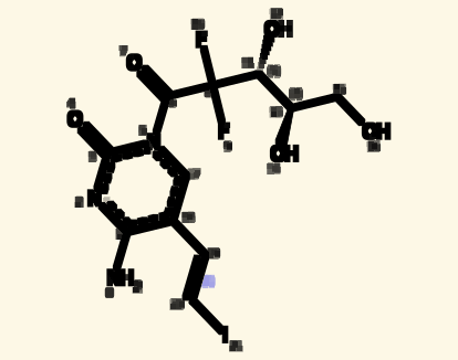 Nc1nc(=O)n(C(=O)C(F)(F)[C@H](O)[C@H](O)CO)cc1/C=C/I